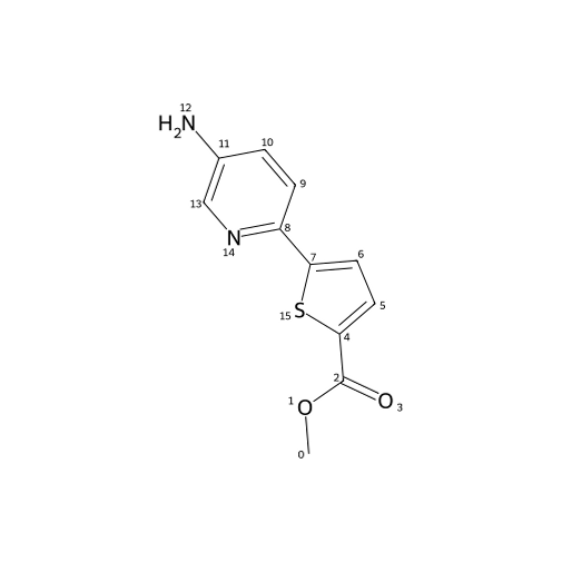 COC(=O)c1ccc(-c2ccc(N)cn2)s1